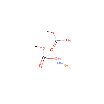 COC(=O)O.COC(=O)O.N.P